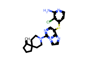 C=C1CCCC12CCN(c1ncc(Sc3ccnc(N)c3Cl)c3nccn13)CC2